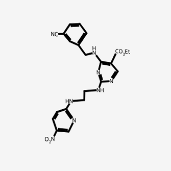 CCOC(=O)c1cnc(NCCNc2ccc([N+](=O)[O-])cn2)nc1NCc1cccc(C#N)c1